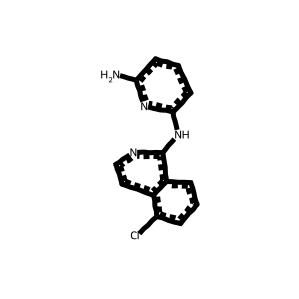 Nc1cccc(Nc2nccc3c(Cl)cccc23)n1